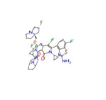 Nc1nc2c(-c3c(F)c4nc(OC[C@@]56CCCN5C[C@H](F)C6)nc(N5CC6CCC(C5)N6C(=O)C5CC5(F)F)c4c(=O)n3C3CC3)ccc(F)c2s1